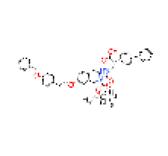 CC(C)(C)OC(=O)[N+]1(C(=O)NCC(C(=O)O)c2ccc(-c3ccccc3)cc2)CCc2ccc(OCCc3ccc(OCc4ccccc4)cc3)cc2C1